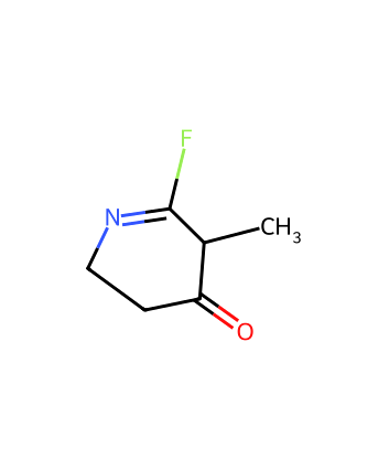 CC1C(=O)CCN=C1F